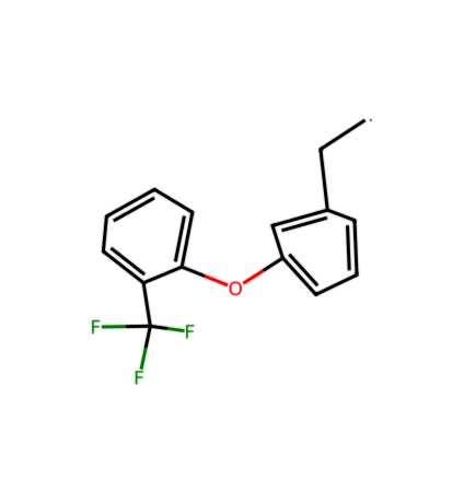 [CH2]Cc1cccc(Oc2ccccc2C(F)(F)F)c1